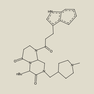 CCCCC1C(=O)N(CC2CCN(C)CC2)CC2N(C(=O)CCc3c[nH]c4ccccc34)CCC(=O)N12